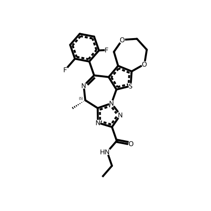 CCNC(=O)c1nc2n(n1)-c1sc3c(c1C(c1c(F)cccc1F)=N[C@H]2C)COCCO3